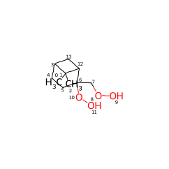 CC1(C)C2CCC(COO)(OO)C1C2